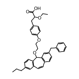 CCCc1ccc2c(c1)C=Cc1ccc(Cc3ccccc3)cc1C2OCCOc1ccc(CC(OCC)C(=O)O)cc1